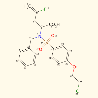 C=C(F)CC(C(=O)O)N(Cc1ccccc1)S(=O)(=O)c1ccc(OCCCl)cc1